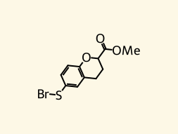 COC(=O)C1CCc2cc(SBr)ccc2O1